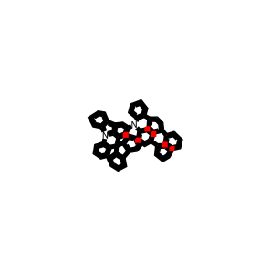 c1ccc(-c2ccc(-c3ccccc3N(c3ccc(-c4ccccc4)cc3)c3cc4c5c(c3)c3ccccc3n5-c3ccccc3C43c4ccccc4-c4ccccc43)cc2)cc1